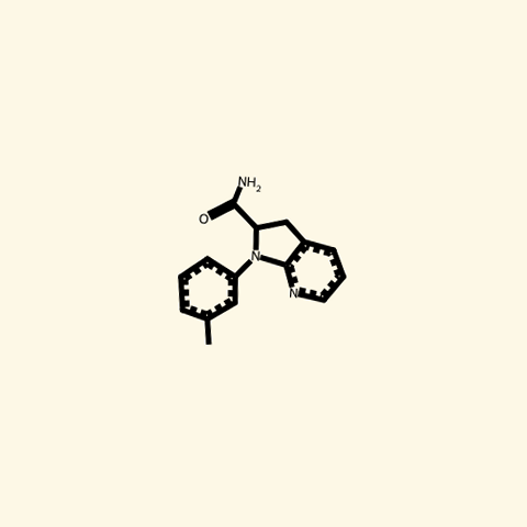 Cc1cccc(N2c3ncccc3CC2C(N)=O)c1